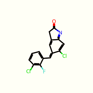 O=C1Cc2cc(=Cc3cccc(Cl)c3F)c(Cl)cc2=N1